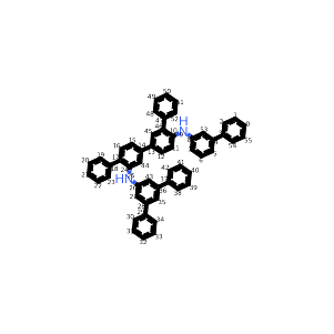 c1ccc(-c2cccc(Nc3ccc(-c4ccc(-c5ccccc5)c(Nc5cc(-c6ccccc6)cc(-c6ccccc6)c5)c4)cc3-c3ccccc3)c2)cc1